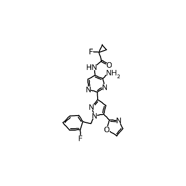 Nc1nc(-c2cc(-c3ncco3)n(Cc3ccccc3F)n2)ncc1NC(=O)C1(F)CC1